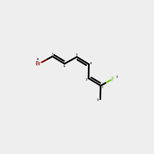 C/C(F)=C/C=C\C=C\Br